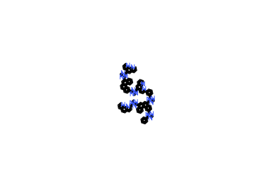 c1ccc(-c2ncnc(-c3ccc4c(-c5ncnc(-c6cccc(-c7ccc8c(-c9ncnc(-c%10ccc%11ccc%12cc(-c%13ncnc(-c%14cc%15cccnc%15c%15ncccc%14%15)n%13)c%13ccccc%13c%12c%11c%10)n9)cc9cccnc9c8n7)c6)n5)cc5cc(-c6ncnc(-c7ccc8ccc9cccnc9c8n7)n6)c6ccccc6c5c4c3)n2)cc1